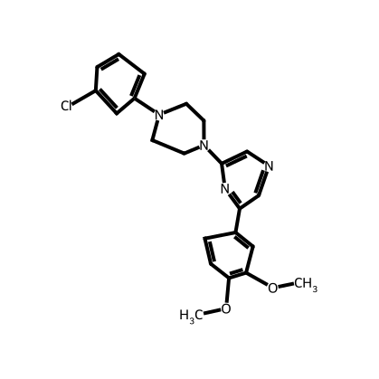 COc1ccc(-c2cncc(N3CCN(c4cccc(Cl)c4)CC3)n2)cc1OC